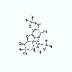 [2H]c1c([2H])c(OC([2H])([2H])[2H])c2c3c1C[C@@]1([2H])N(C([2H])([2H])[2H])CC[C@@]34C(O2)C(=O)C([2H])([2H])C[C@]41[2H]